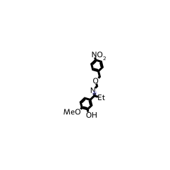 CC/C(=N\COCc1ccc([N+](=O)[O-])cc1)c1ccc(OC)c(O)c1